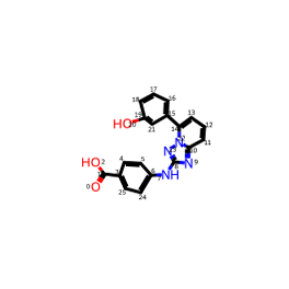 O=C(O)c1ccc(Nc2nc3cccc(-c4cccc(O)c4)n3n2)cc1